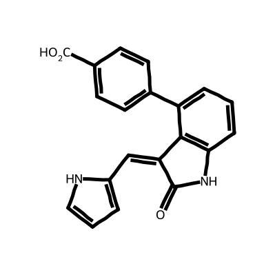 O=C1Nc2cccc(-c3ccc(C(=O)O)cc3)c2C1=Cc1ccc[nH]1